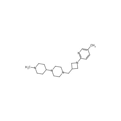 Cc1ccc(N2CC(CN3CCN(C4CCN(C)CC4)CC3)C2)nc1